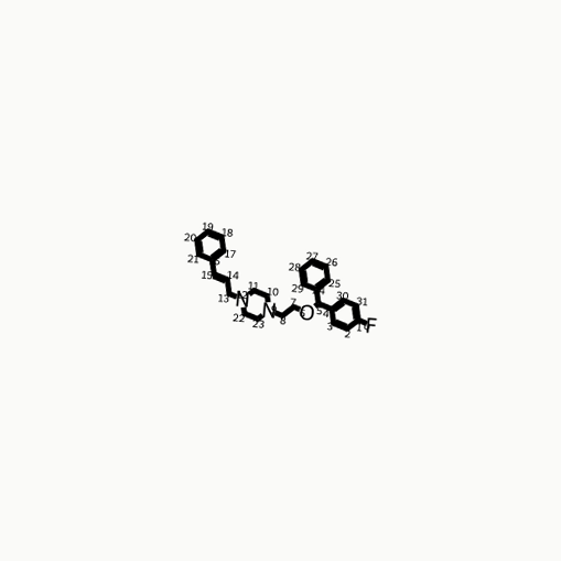 Fc1ccc(C(OCCN2CCN(CC=Cc3ccccc3)CC2)c2ccccc2)cc1